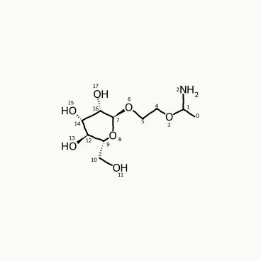 CC(N)OCCO[C@H]1O[C@H](CO)[C@@H](O)[C@H](O)[C@@H]1O